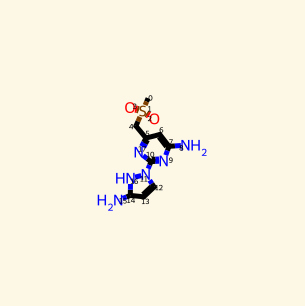 CS(=O)(=O)Cc1cc(N)nc(N2C=CC(N)N2)n1